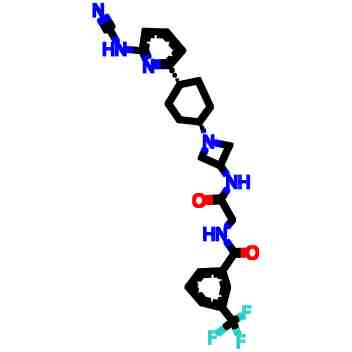 N#CNc1cccc([C@H]2CC[C@@H](N3CC(NC(=O)CNC(=O)c4cccc(C(F)(F)F)c4)C3)CC2)n1